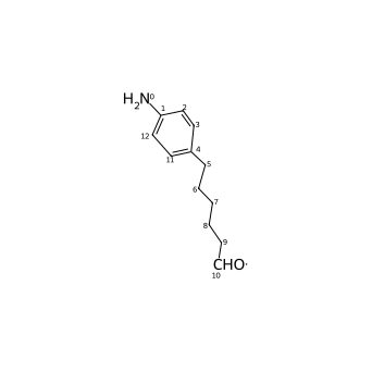 Nc1ccc(CCCCC[C]=O)cc1